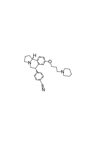 N#Cc1ccc([C@H]2CN3CCC[C@@H]3c3ccc(OCCCN4CCCCC4)cc32)cc1